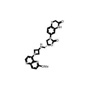 COc1ccc2nccc(N3CC(NC[C@@H]4CN(c5ccc6c(c5)NC(=O)CS6)C(=O)O4)C3)c2n1